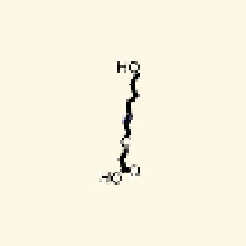 O=C(O)CCCC/C=C/CCCCO